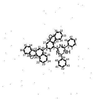 c1ccc(C2=NC(c3cc(-c4cc5c6ccccc6oc5c5ccccc45)cc4oc5ccccc5c34)=NC(c3ccccc3)N2)cc1